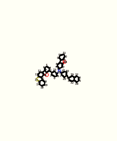 c1cc(-c2cccc3c2oc2c3ccc3sc4ccccc4c32)cc(N(c2ccc(-c3ccc4ccccc4c3)cc2)c2ccc3c(c2)oc2ccccc23)c1